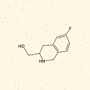 OCC1Cc2cc(F)ccc2CN1